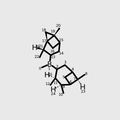 CB(C1CC2CC([C@@H]2C)[C@@H](C)[C@H]1C)C1CC2C[C@]3(C[C@]23C)[C@H]1C